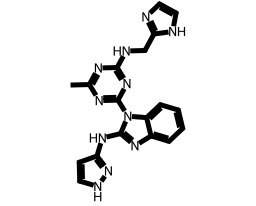 Cc1nc(NCc2ncc[nH]2)nc(-n2c(Nc3cc[nH]n3)nc3ccccc32)n1